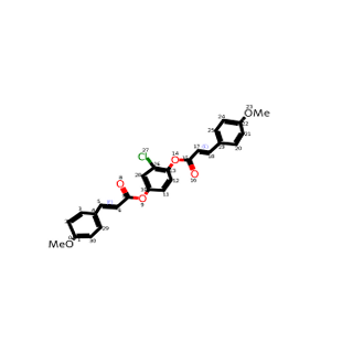 COc1ccc(/C=C/C(=O)Oc2ccc(OC(=O)/C=C/c3ccc(OC)cc3)c(Cl)c2)cc1